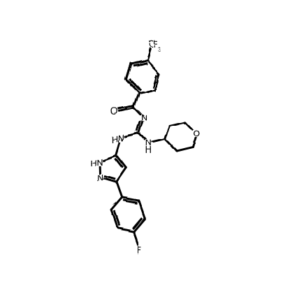 O=C(/N=C(\Nc1cc(-c2ccc(F)cc2)n[nH]1)NC1CCOCC1)c1ccc(C(F)(F)F)cc1